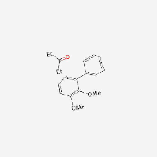 CCC(=O)CC.COc1cccc(-c2ccccc2)c1OC